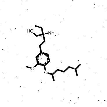 CC[C@@](N)(CO)CCc1ccc(OC(C)CCCC(C)C)c(OC)c1